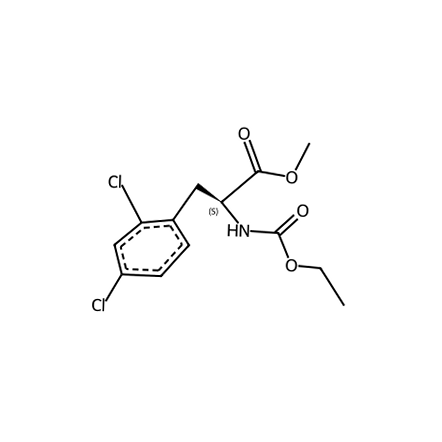 CCOC(=O)N[C@@H](Cc1ccc(Cl)cc1Cl)C(=O)OC